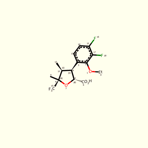 CCOc1c([C@H]2[C@H](C(=O)O)O[C@@](C)(C(F)(F)F)[C@H]2C)ccc(F)c1F